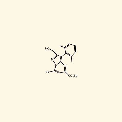 CCOC(=O)c1cc(C(C)C)n2nc(CO)c(-c3c(C)cccc3C)c2n1